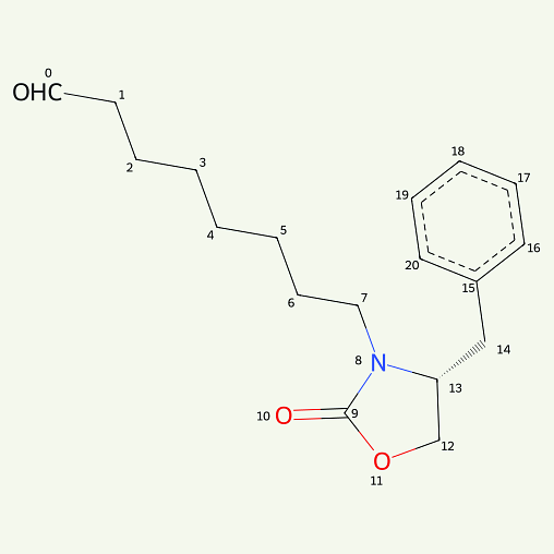 O=CCCCCCCCN1C(=O)OC[C@H]1Cc1ccccc1